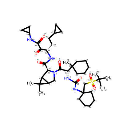 CC1(C)C2CN(C(=O)[C@@H](NC(=O)NC3(CS(=O)(=O)C(C)(C)C)CCCCC3)C3(C)CCCCC3)[C@H](C(=O)N[C@@H](CCC3CC3)C(=O)C(=O)NC3CC3)C21